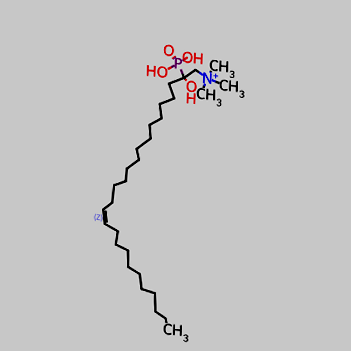 CCCCCCCCCC/C=C\CCCCCCCCCCCCC(O)(C[N+](C)(C)C)P(=O)(O)O